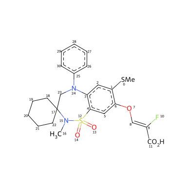 CSc1cc2c(cc1O/C=C(\F)C(=O)O)S(=O)(=O)N(C)C1(CCCCC1)CN2c1ccccc1